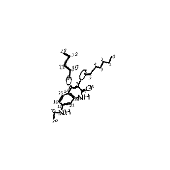 CCCCCCOc1c(OCCCC)c2ccc(NCC)cc2[nH]c1=O